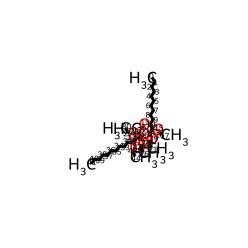 CCCCCCCCCCC(OCC)=C(OCC)C(OCC)OC(OCC)C(OCC)=C(CCCCCCCCCC)OCC